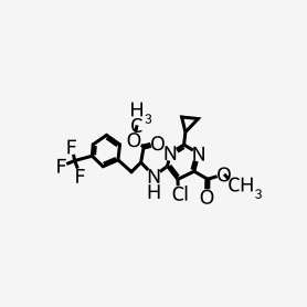 COC(=O)c1nc(C2CC2)nc(NC(Cc2cccc(C(F)(F)F)c2)C(=O)OC)c1Cl